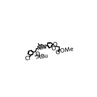 COC(=O)CC1Oc2ccc(NCC(C)NCC(O[Si](C)(C)C(C)(C)C)c3cccc(Cl)c3)cc2O1